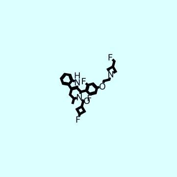 CC1Cc2c([nH]c3ccccc23)C(c2c(F)cc(OCCN3CC(CF)C3)cc2F)N1C(=O)C1CC(F)C1